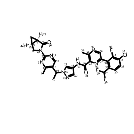 Cc1nc(N2C[C@H]3C[C@H]3C2=O)ncc1C(C)n1cc(NC(=O)c2nc(-c3c(C(F)F)ccc(Cl)c3F)cnc2C)cn1